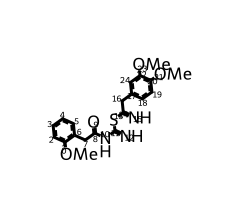 COc1ccccc1CC(=O)NC(=N)SC(=N)Cc1ccc(OC)c(OC)c1